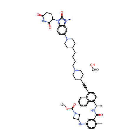 Cc1ccc(NC2CN(C(=O)OC(C)(C)C)C2)cc1C(=O)N[C@H](C)c1ccc(C#CC2CCN(CCCCC3CCN(c4ccc5c(c4)n(C)c(=O)n5C4CCC(=O)NC4=O)CC3)CC2)c2ccccc12.O=CO